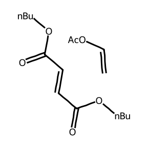 C=COC(C)=O.CCCCOC(=O)C=CC(=O)OCCCC